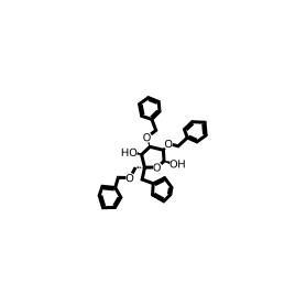 O[C@H]1O[C@@](COCc2ccccc2)(Cc2ccccc2)[C@@H](O)[C@H](OCc2ccccc2)[C@H]1OCc1ccccc1